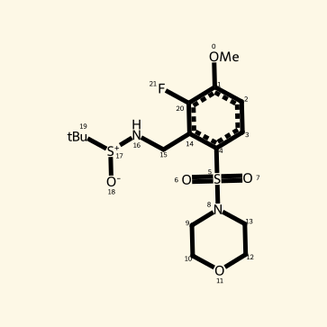 COc1ccc(S(=O)(=O)N2CCOCC2)c(CN[S+]([O-])C(C)(C)C)c1F